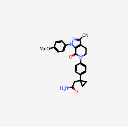 COc1ccc(-n2nc(C#N)c3c2C(=O)N(c2ccc(C4(CC(N)=O)CC4)cc2)CC3)cc1